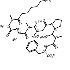 CC[C@H](C)[C@@H]([C@@H](CC(=O)N1CCC[C@H]1C(OC)[C@@H](C)C(=O)N[C@@H](Cc1ccccc1)C(=O)O)OC)N(C)C(=O)[C@@H](NC(=O)[C@H](C(C)C)N(C)C(=O)CCCCCN)C(C)C